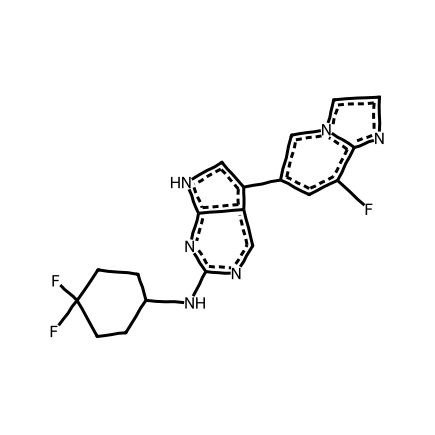 Fc1cc(-c2c[nH]c3nc(NC4CCC(F)(F)CC4)ncc23)cn2ccnc12